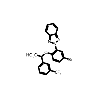 O=C(O)C(Oc1ccc(Br)cc1-n1nc2ccccc2n1)c1cccc(C(F)(F)F)c1